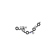 Cc1ccc(COc2ccc(C(=O)/C=C/c3ccc(C=C4CN(C(Cc5ccccc5)C(=O)O)C(=S)S4)cc3)cc2)cc1